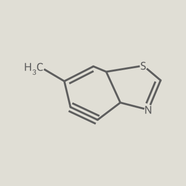 CC1=CC2SC=NC2C#C1